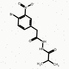 CC(C)C(=O)NNC(=O)Cc1ccc(Br)c([N+](=O)[O-])c1